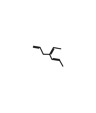 C=CCC(C=CC)=CC